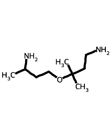 CC(N)CCOC(C)(C)CCN